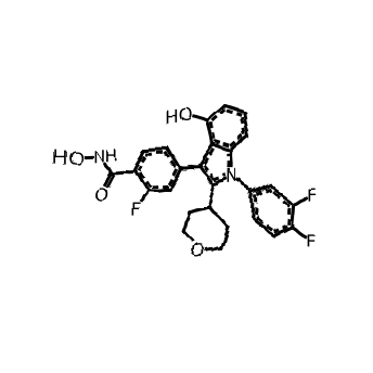 O=C(NO)c1ccc(-c2c(C3CCOCC3)n(-c3ccc(F)c(F)c3)c3cccc(O)c23)cc1F